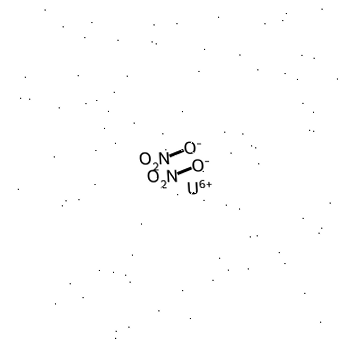 O=[N+]([O-])[O-].O=[N+]([O-])[O-].[U+6]